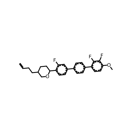 C=CCCC1CCC(c2ccc(-c3ccc(-c4ccc(OC)c(F)c4F)cc3)cc2F)OC1